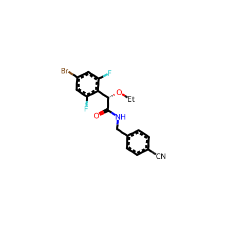 CCO[C@H](C(=O)NCc1ccc(C#N)cc1)c1c(F)cc(Br)cc1F